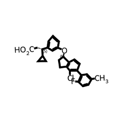 Cc1ccc(F)c(-c2ccc3c(c2Cl)CC[C@H]3Oc2cccc([C@@H](CC(=O)O)C3CC3)c2)c1